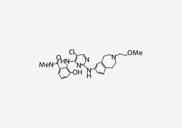 CNC(=O)c1cccc(O)c1Nc1nc(Nc2ccc3c(c2)CCN(CCOC)CC3)ncc1Cl